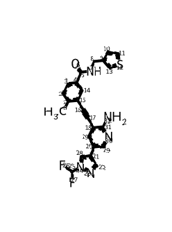 Cc1ccc(C(=O)NCc2ccsc2)cc1C#Cc1cc(-c2cnn(C(F)F)c2)cnc1N